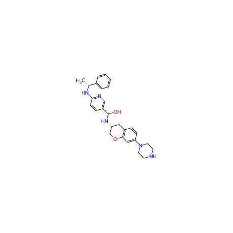 C[C@@H](Nc1ccc(C(O)N[C@H]2COc3cc(N4CCNCC4)ccc3C2)cn1)c1ccccc1